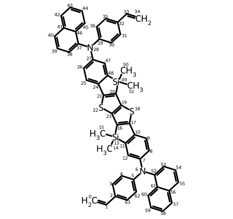 C=Cc1ccc(N(c2ccc3c(c2)[Si](C)(C)c2c-3sc3c4c(sc23)-c2ccc(N(c3ccc(C=C)cc3)c3cccc5ccccc35)cc2[Si]4(C)C)c2cccc3ccccc23)cc1